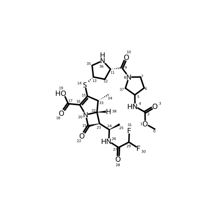 COC(=O)NC1CCN(C(=O)[C@@H]2C[C@H](SC3=C(C(=O)O)N4C(=O)[C@H]([C@@H](C)NC(=O)C(F)F)[C@H]4[C@H]3C)CN2)C1